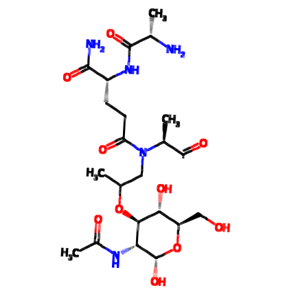 CC(=O)N[C@@H]1[C@@H](OC(C)CN(C(=O)CC[C@@H](NC(=O)[C@H](C)N)C(N)=O)[C@@H](C)[C]=O)[C@H](O)[C@@H](CO)O[C@@H]1O